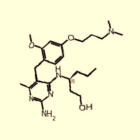 CCC[C@@H](CCO)Nc1nc(N)nc(C)c1Cc1ccc(OCCCN(C)C)cc1OC